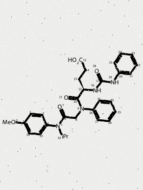 COc1ccc(N(C(=O)CN(C(=O)[C@@H](CCC(=O)O)NC(=O)Nc2ccccc2)c2ccccc2)C(C)C)cc1